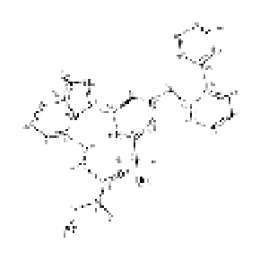 CC(=O)CN(C)C(=O)OCc1cccc2nnc([C@@H](COCc3ccccc3-c3ccccc3)NC(=O)C(C)(C)N)n12